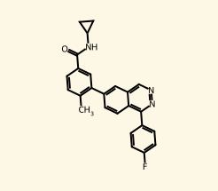 Cc1ccc(C(=O)NC2CC2)cc1-c1ccc2c(-c3ccc(F)cc3)nncc2c1